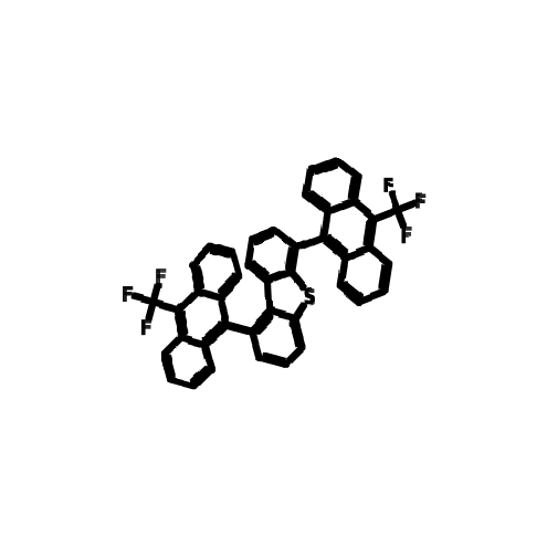 FC(F)(F)c1c2ccccc2c(-c2cccc3c2sc2cccc(-c4c5ccccc5c(C(F)(F)F)c5ccccc45)c23)c2ccccc12